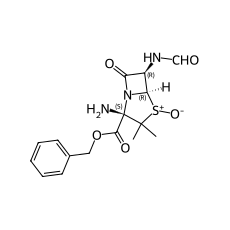 CC1(C)[S+]([O-])[C@@H]2[C@H](NC=O)C(=O)N2[C@@]1(N)C(=O)OCc1ccccc1